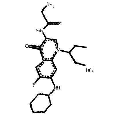 CCC(CC)n1cc(NC(=O)CN)c(=O)c2cc(F)c(NC3CCCCC3)cc21.Cl